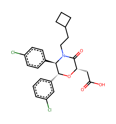 O=C(O)C[C@@H]1O[C@H](c2cccc(Cl)c2)[C@@H](c2ccc(Cl)cc2)N(CCC2CCC2)C1=O